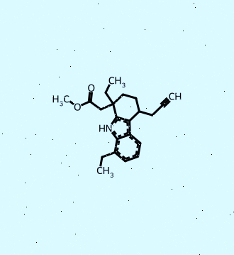 C#CCC1CCC(CC)(CC(=O)OC)c2[nH]c3c(CC)cccc3c21